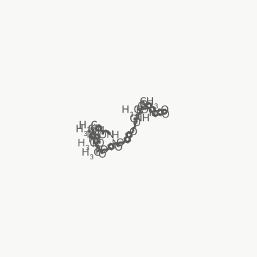 COc1ccc2cc3[n+](cc2c1OC(=O)N(C)CCNC(=O)OCCCOc1ccc2cc(COC(=O)Nc4ccc(COC(=O)N(C)CCN(C)C(=O)n5ccc6c(N(C)[C@@H]7CN(C(=O)CC#N)CC[C@@H]7C)ncnc65)cc4)ccc2c1)CCc1cc2c(cc1-3)OCO2